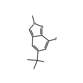 Cn1cc2cc(C(C)(C)C)cc(F)c2n1